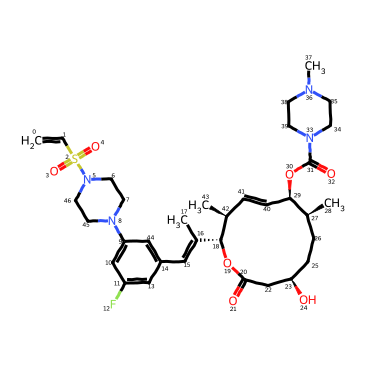 C=CS(=O)(=O)N1CCN(c2cc(F)cc(/C=C(\C)[C@H]3OC(=O)C[C@H](O)CC[C@H](C)[C@H](OC(=O)N4CCN(C)CC4)/C=C/[C@@H]3C)c2)CC1